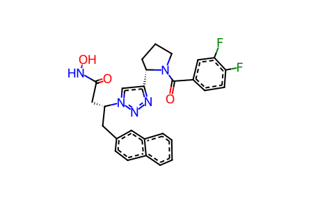 O=C(C[C@@H](Cc1ccc2ccccc2c1)n1cc([C@@H]2CCCN2C(=O)c2ccc(F)c(F)c2)nn1)NO